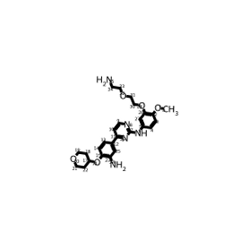 COc1ccc(Nc2nccc(-c3ccc(OC4CCOCC4)c(N)c3)n2)cc1OCCOCCN